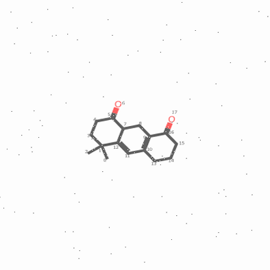 CC1(C)CCC(=O)C2CC3=C(C=C21)CCCC3=O